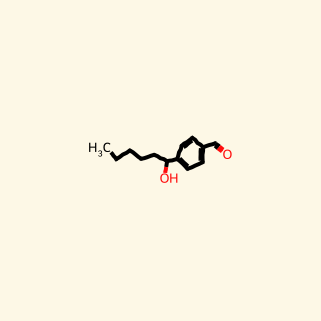 CCCCCC(O)c1ccc(C=O)cc1